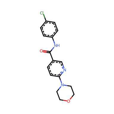 O=C(Nc1ccc(Cl)cc1)c1ccc(N2CCOCC2)nc1